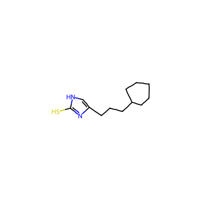 Sc1nc(CCCC2CCCCC2)c[nH]1